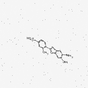 Cc1cc(C(=O)O)ccc1-c1nc2cc(N)c(O)cc2o1